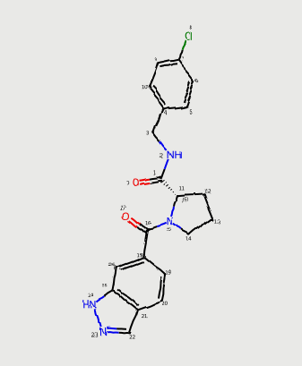 O=C(NCc1ccc(Cl)cc1)[C@@H]1CCCN1C(=O)c1ccc2cn[nH]c2c1